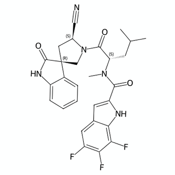 CC(C)C[C@@H](C(=O)N1C[C@]2(C[C@H]1C#N)C(=O)Nc1ccccc12)N(C)C(=O)c1cc2cc(F)c(F)c(F)c2[nH]1